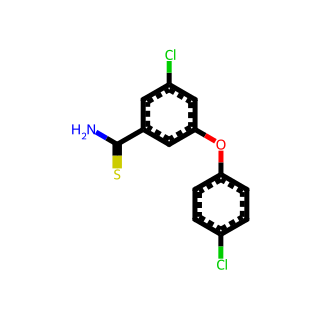 NC(=S)c1cc(Cl)cc(Oc2ccc(Cl)cc2)c1